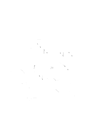 Cn1ncnc1[C@H]1c2n[nH]c(=O)c3cc(F)cc(c23)N(CC(=O)O)[C@@H]1c1ccc(F)cc1